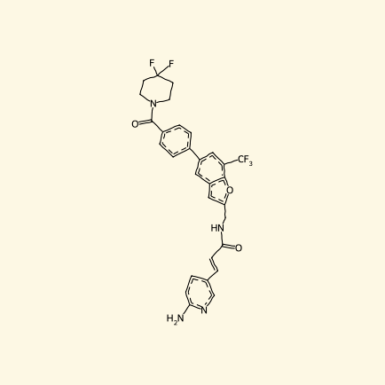 Nc1ccc(C=CC(=O)NCc2cc3cc(-c4ccc(C(=O)N5CCC(F)(F)CC5)cc4)cc(C(F)(F)F)c3o2)cn1